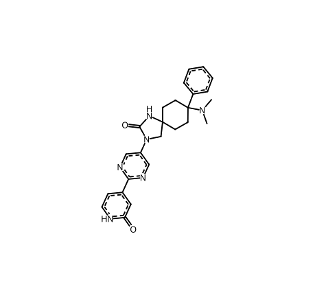 CN(C)C1(c2ccccc2)CCC2(CC1)CN(c1cnc(-c3cc[nH]c(=O)c3)nc1)C(=O)N2